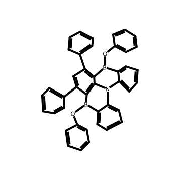 c1ccc(OB2c3ccccc3N3c4ccccc4B(Oc4ccccc4)c4c(-c5ccccc5)cc(-c5ccccc5)c2c43)cc1